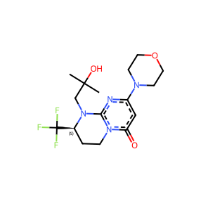 CC(C)(O)CN1c2nc(N3CCOCC3)cc(=O)n2CC[C@H]1C(F)(F)F